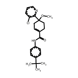 COC1(c2ncccc2Cl)CC=C(C(=O)Nc2ccc(C(C)(C)C)cc2)CC1